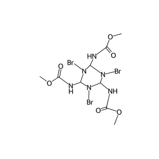 COC(=O)NC1N(Br)C(NC(=O)OC)N(Br)C(NC(=O)OC)N1Br